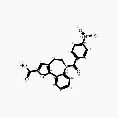 O=C(O)c1cc2c(s1)-c1ccccc1N(C(=O)c1ccc([N+](=O)[O-])cc1)CC2